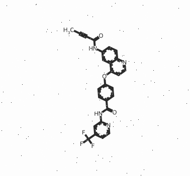 CC#CC(=O)Nc1ccc2nccc(Oc3ccc(C(=O)Nc4cc(C(F)(F)F)ccn4)cc3)c2c1